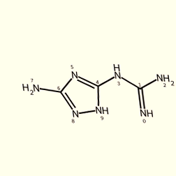 N=C(N)Nc1nc(N)n[nH]1